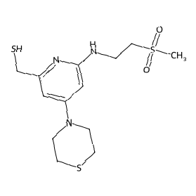 CS(=O)(=O)CCNc1cc(N2CCSCC2)cc(CS)n1